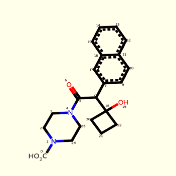 O=C(O)N1CCN(C(=O)C(c2ccc3ccccc3c2)C2(O)CCC2)CC1